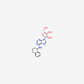 OC[C@H]1O[C@@H](n2cnc3c(NC4CCCc5ccccc54)ncnc32)[C@H](O)[C@@H]1O